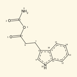 NC(=O)OC(=O)[CH]Cc1c[nH]c2ccccc12